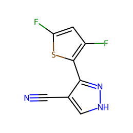 N#Cc1c[nH]nc1-c1sc(F)cc1F